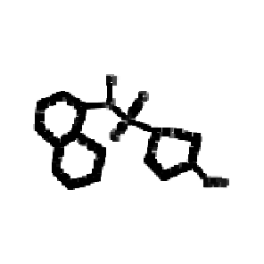 CCN(c1cccc2ccccc12)S(=O)(=O)c1ccc(OC)cc1